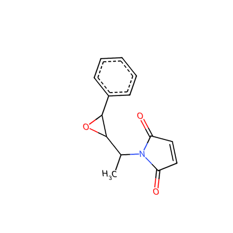 CC(C1OC1c1ccccc1)N1C(=O)C=CC1=O